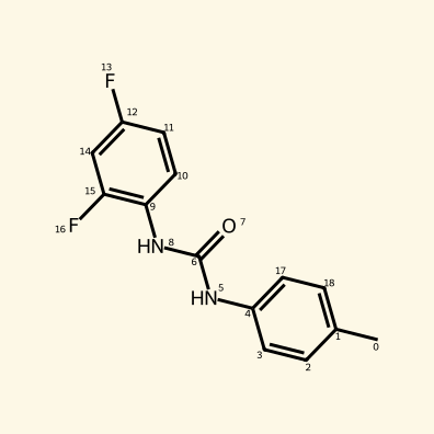 Cc1ccc(NC(=O)Nc2ccc(F)cc2F)cc1